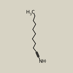 CCCCCCCCCC#C[NH]